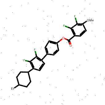 CCC1CCC(c2ccc(-c3ccc(OC(=O)c4ccc(OC)c(F)c4F)cc3)c(F)c2F)CC1